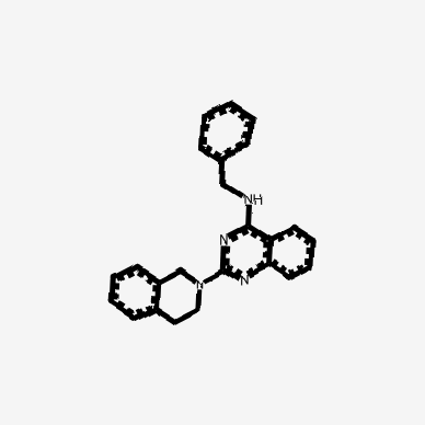 c1ccc(CNc2nc(N3CCc4ccccc4C3)nc3ccccc23)cc1